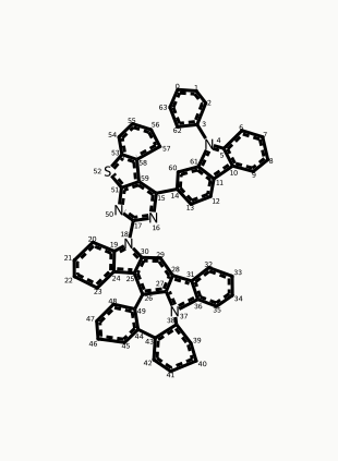 c1ccc(-n2c3ccccc3c3ccc(-c4nc(-n5c6ccccc6c6c7c8c(cc65)c5ccccc5n8-c5ccccc5-c5ccccc5-7)nc5sc6ccccc6c45)cc32)cc1